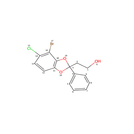 OCCC1(c2ccccc2)Oc2ccc(Cl)c(Br)c2O1